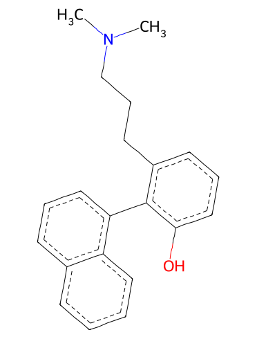 CN(C)CCCc1cccc(O)c1-c1cccc2ccccc12